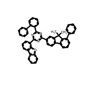 CC1(C)c2cc(-c3nc(-c4ccccc4-c4ccccc4)nc(-c4cccc5c4oc4ccccc45)n3)ccc2-c2cccc(-c3ccccc3)c21